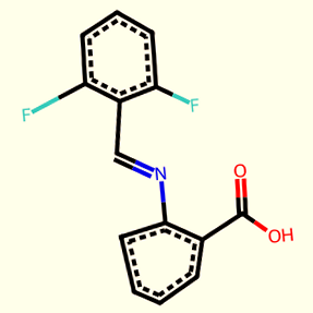 O=C(O)c1ccccc1N=Cc1c(F)cccc1F